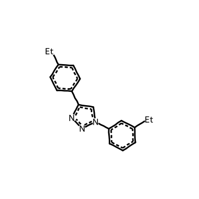 CCc1ccc(-c2cn(-c3cccc(CC)c3)nn2)cc1